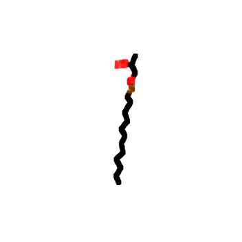 CCCCCCCCCCCCSOCC(C)O